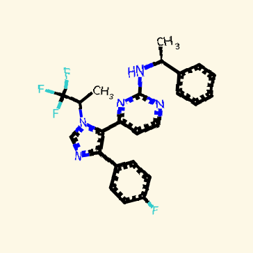 CC(n1cnc(-c2ccc(F)cc2)c1-c1ccnc(N[C@@H](C)c2ccccc2)n1)C(F)(F)F